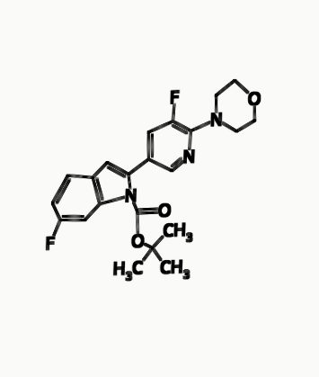 CC(C)(C)OC(=O)n1c(-c2cnc(N3CCOCC3)c(F)c2)cc2ccc(F)cc21